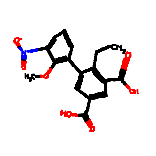 CCc1c(C(=O)O)cc(C(=O)O)cc1-c1cccc([N+](=O)[O-])c1OC